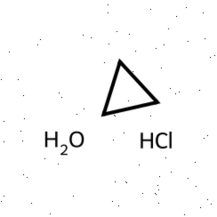 C1CC1.Cl.O